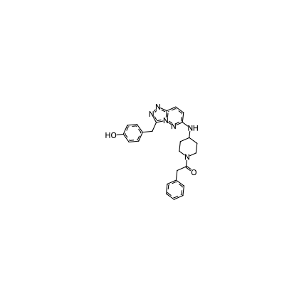 O=C(Cc1ccccc1)N1CCC(Nc2ccc3nnc(Cc4ccc(O)cc4)n3n2)CC1